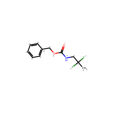 CC(F)(F)CNC(=O)OCc1ccccc1